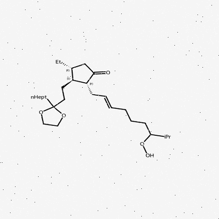 CCCCCCCC1(CC[C@H]2[C@H](CC)CC(=O)[C@@H]2CC=CCCCC(OO)C(C)C)OCCO1